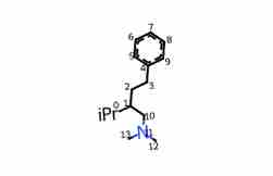 CC(C)C(CCc1ccccc1)CN(C)C